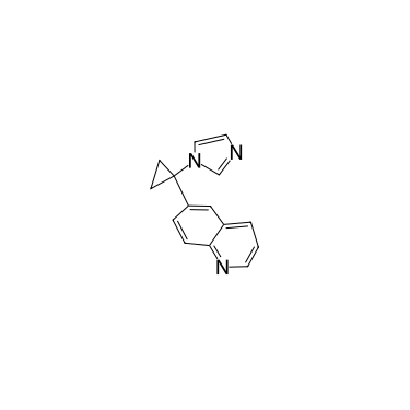 c1cnc2ccc(C3(n4ccnc4)CC3)cc2c1